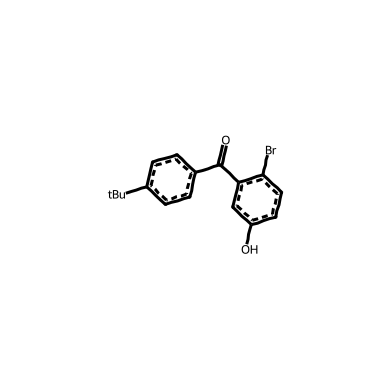 CC(C)(C)c1ccc(C(=O)c2cc(O)ccc2Br)cc1